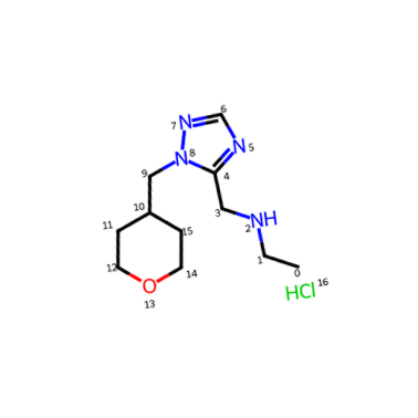 CCNCc1ncnn1CC1CCOCC1.Cl